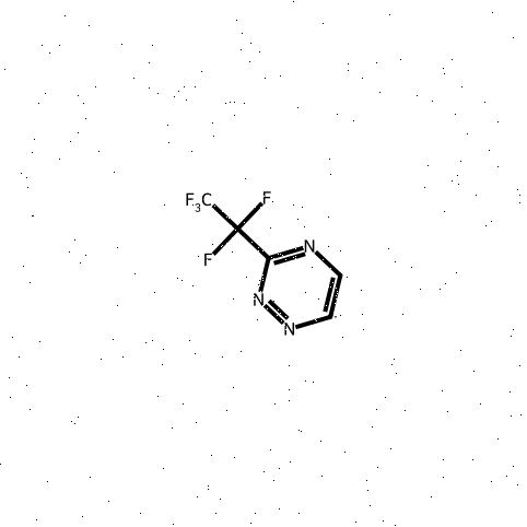 FC(F)(F)C(F)(F)c1nc[c]nn1